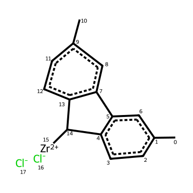 Cc1ccc2c(c1)-c1cc(C)ccc1[CH]2[Zr+2].[Cl-].[Cl-]